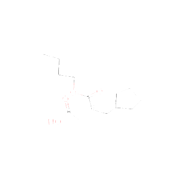 CCCCOC(=O)[C@@H](CC(=O)O)CC1CCCC1